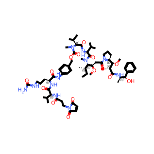 CC[C@H](C)[C@@H]([C@@H](CC(=O)N1CCC[C@H]1[C@H](OC)[C@@H](C)C(=O)N[C@H](C)[C@@H](O)c1ccccc1)OC)N(C)C(=O)[C@@H](NC(=O)[C@H](C(C)C)N(C)C(=O)OCc1ccc(NC(=O)[C@H](CCCNC(N)=O)NC(=O)[C@@H](NC(=O)CCN2C(=O)C=CC2=O)C(C)C)cc1)C(C)C